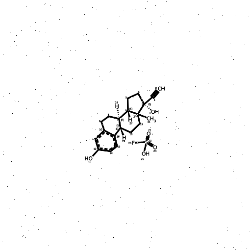 C#C[C@]1(O)CC[C@H]2[C@@H]3CCc4cc(O)ccc4[C@H]3CCC21C.O=S(=O)(O)F